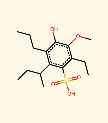 CCCc1c(O)c(OC)c(CC)c(S(=O)(=O)O)c1C(C)CC